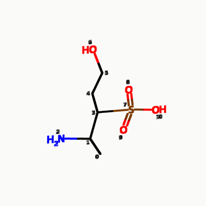 CC(N)C(CCO)S(=O)(=O)O